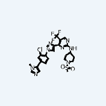 Cn1cncc1-c1ccc(-n2cnc(-c3nc(NC4CCN(S(C)(=O)=O)CC4)ncc3C(F)(F)F)c2)c(Cl)c1